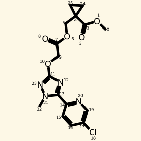 COC(=O)C1(COC(=O)COc2nc(-c3ccc(Cl)cn3)n(C)n2)CC1